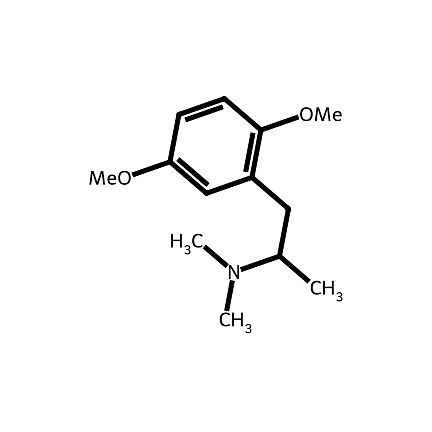 COc1ccc(OC)c(CC(C)N(C)C)c1